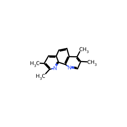 Cc1cc2ccc3c(C)c(C)cnc3c2nc1C